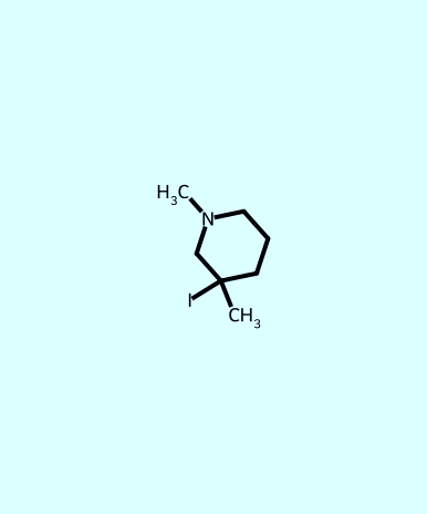 CN1CCCC(C)(I)C1